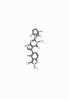 Cn1nc2ccc(-c3c[nH]c4nc(N5C[C@H]6CC[C@@H]5[C@@H]6N)n(C)c(=O)c34)c(F)c2c1Cl